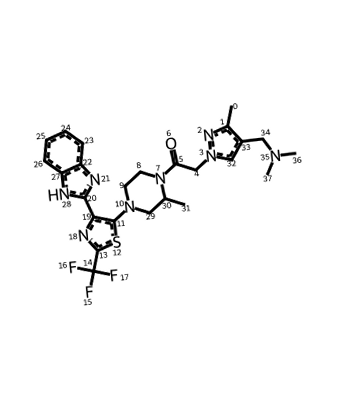 Cc1nn(CC(=O)N2CCN(c3sc(C(F)(F)F)nc3-c3nc4ccccc4[nH]3)CC2C)cc1CN(C)C